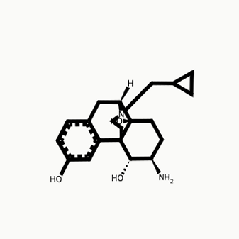 N[C@@H]1CC[C@@]2(O)[C@H]3Cc4ccc(O)cc4[C@@]2(CCN3CC2CC2)[C@H]1O